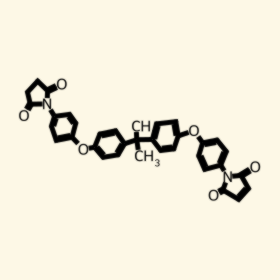 CC(C)(c1ccc(Oc2ccc(N3C(=O)C=CC3=O)cc2)cc1)c1ccc(Oc2ccc(N3C(=O)CCC3=O)cc2)cc1